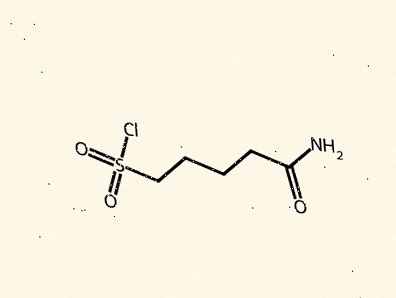 NC(=O)CCCCS(=O)(=O)Cl